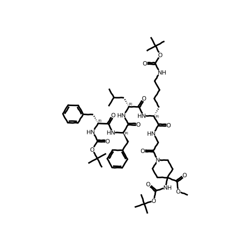 COC(=O)C1(NC(=O)OC(C)(C)C)CCN(C(=O)CNC(=O)[C@@H](CCCCNC(=O)OC(C)(C)C)NC(=O)[C@@H](CC(C)C)NC(=O)[C@@H](Cc2ccccc2)NC(=O)[C@@H](Cc2ccccc2)NC(=O)OC(C)(C)C)CC1